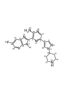 Cn1c(-c2nc(-c3cnn(C4CCNCC4)c3)cnc2N)nc2cc(F)ccc21